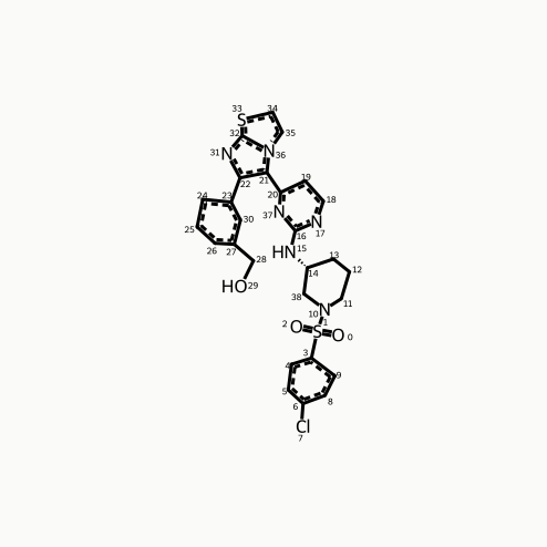 O=S(=O)(c1ccc(Cl)cc1)N1CCC[C@@H](Nc2nccc(-c3c(-c4cccc(CO)c4)nc4sccn34)n2)C1